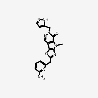 Cn1c2nc(Cc3cccc(N)n3)oc2c2cnn(Cc3ccn[nH]3)c(=O)c21